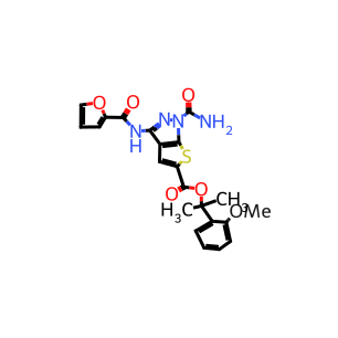 COc1ccccc1C(C)(C)OC(=O)c1cc2c(NC(=O)c3ccco3)nn(C(N)=O)c2s1